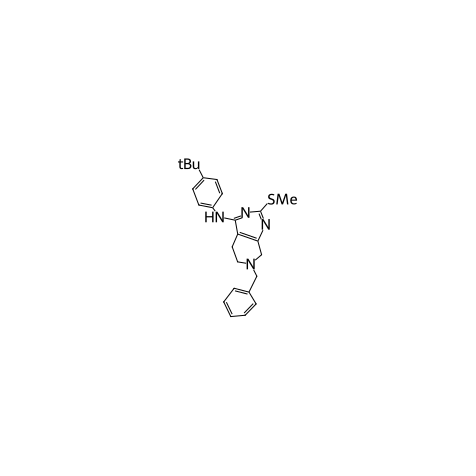 CSc1nc2c(c(Nc3ccc(C(C)(C)C)cc3)n1)CCN(Cc1ccccc1)C2